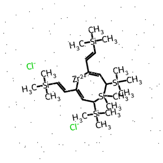 C[Si](C)(C)C=C/[C]1=C/C([Si](C)(C)C)[Si](C)(C)C([Si](C)(C)C)/C=[C](/C=C[Si](C)(C)C)[Zr+2]1.[Cl-].[Cl-]